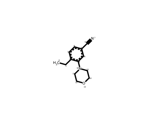 CCc1ccc(C#N)cc1N1CCOCC1